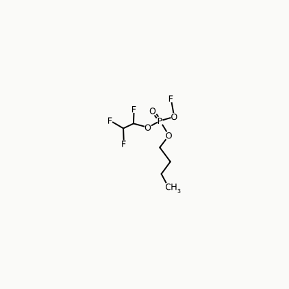 CCCCOP(=O)(OF)OC(F)C(F)F